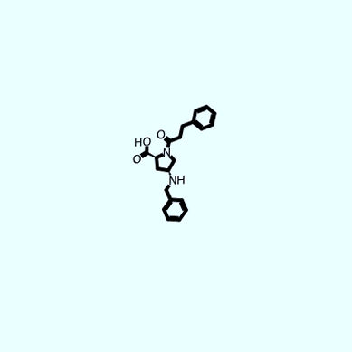 O=C(O)[C@@H]1C[C@@H](NCc2ccccc2)CN1C(=O)CCc1ccccc1